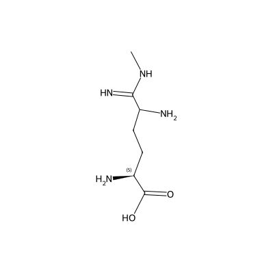 CNC(=N)C(N)CC[C@H](N)C(=O)O